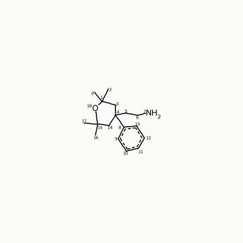 CC1(C)CC(CCN)(c2ccccc2)CC(C)(C)O1